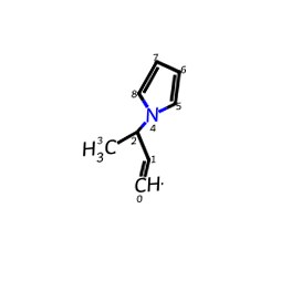 [CH]=CC(C)n1cccc1